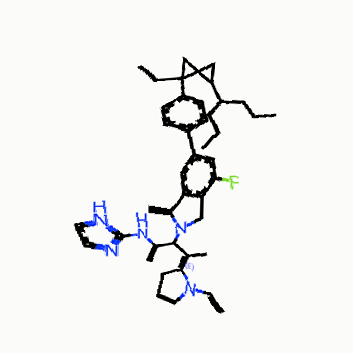 C=CN1CCC/C1=C(/C)C(C(=C)Nc1ncc[nH]1)N1Cc2c(F)cc(-c3ccc(C4(CC)CC45CC5C(CCC)CCC)cc3)cc2C1=C